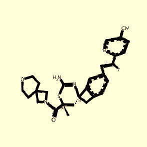 C[C@]1(C(=O)N2CC3(CCOCC3)C2)C[C@]2(Cc3ccc(/C=C(\F)c4ccc(C#N)cn4)cc32)N=C(N)S1